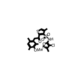 COc1c(C)cc(C)c(CC(=O)c2scc(C)c2S(=O)(=O)Nc2onc(C)c2Cl)c1C